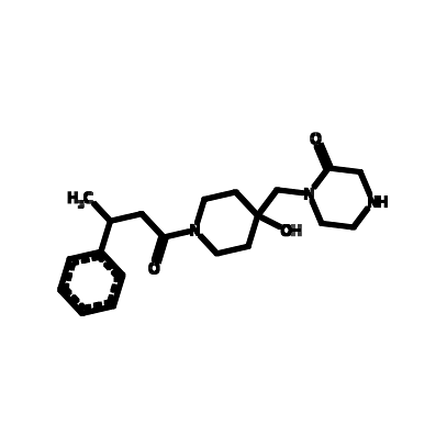 CC(CC(=O)N1CCC(O)(CN2CCNCC2=O)CC1)c1ccccc1